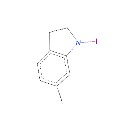 Cc1ccc2c(c1)N(I)CC2